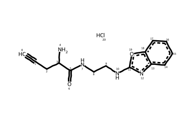 C#CCC(N)C(=O)NCCNc1nc2ccccc2o1.Cl